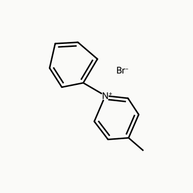 Cc1cc[n+](-c2ccccc2)cc1.[Br-]